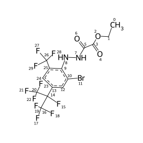 CCOC(=O)C(=O)NNc1c(Br)cc(C(F)(C(F)(F)F)C(F)(F)F)cc1C(F)(F)F